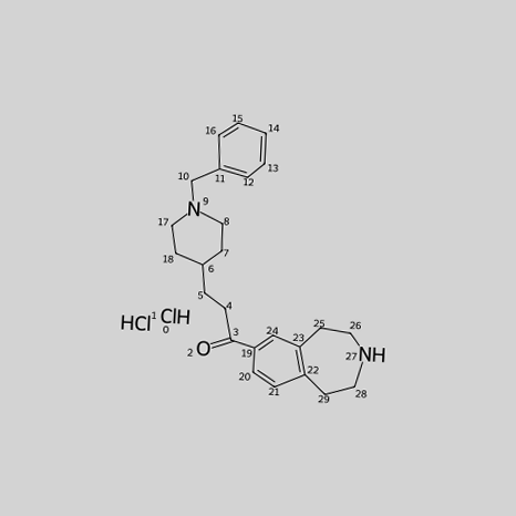 Cl.Cl.O=C(CCC1CCN(Cc2ccccc2)CC1)c1ccc2c(c1)CCNCC2